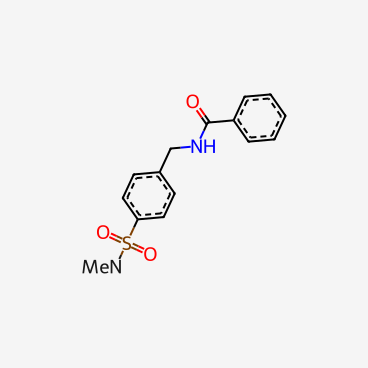 CNS(=O)(=O)c1ccc(CNC(=O)c2ccccc2)cc1